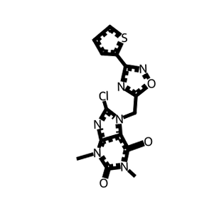 Cn1c(=O)c2c(nc(Cl)n2Cc2nc(-c3cccs3)no2)n(C)c1=O